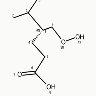 CC(C)[C@@H](CCC(=O)O)COO